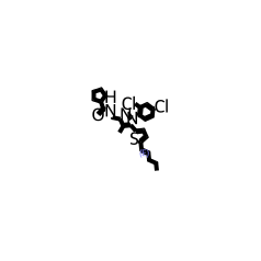 CCC/C=C/c1ccc(-c2c(C)c(CNC(=O)C3CCCC3)nn2-c2ccc(Cl)cc2Cl)s1